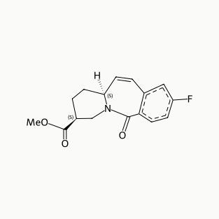 COC(=O)[C@H]1CC[C@H]2C=Cc3cc(F)ccc3C(=O)N2C1